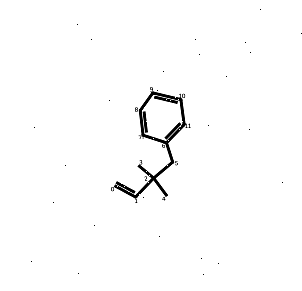 C=CC(C)(C)Cc1[c]cccc1